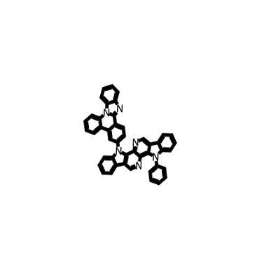 c1ccc(-n2c3ccccc3c3cnc4c(ncc5c6ccccc6n(-c6ccc7c(c6)c6ccccc6n6c8ccccc8nc76)c54)c32)cc1